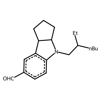 CCCCC(CC)CN1c2ccc(C=O)cc2C2CCCC21